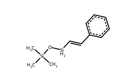 C[Si](C)(C)O[SiH2]C=Cc1ccccc1